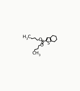 CCCCOB(OCCCC)c1cc2c(s1)CCCC2